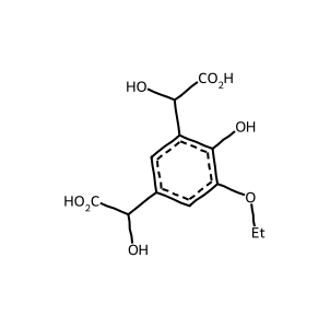 CCOc1cc(C(O)C(=O)O)cc(C(O)C(=O)O)c1O